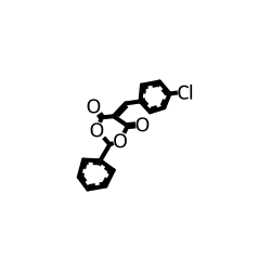 O=C1OC(c2ccccc2)OC(=O)C1=Cc1ccc(Cl)cc1